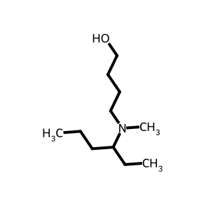 CCCC(CC)N(C)CCCCO